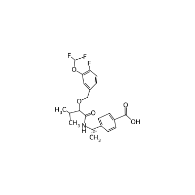 CC(C)C(OCc1ccc(F)c(OC(F)F)c1)C(=O)N[C@@H](C)c1ccc(C(=O)O)cc1